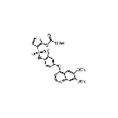 COC(=O)Oc1sccc1S(=O)(=O)Nc1ccc(Oc2ccnc3cc(OC)c(OC)cc23)cc1F